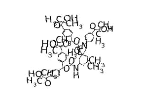 CC1(C)CC(NC(=O)OC(c2ccc(C(=O)C(C)(C)O)cc2)c2ccc(C(=O)C(C)(C)O)cc2)CC(C)(CN(C(=O)OCc2ccc(C(=O)C(C)(C)O)cc2)c2ccc(C(=O)C(C)(C)O)cc2)C1